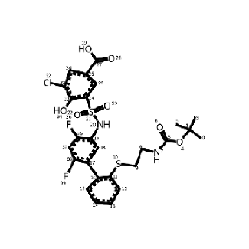 CC(C)(C)OC(=O)NCCSc1ccccc1-c1cc(NS(=O)(=O)c2cc(C(=O)O)cc(Cl)c2O)c(F)cc1F